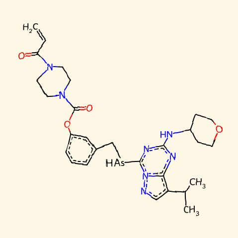 C=CC(=O)N1CCN(C(=O)Oc2cccc(C[AsH]c3nc(NC4CCOCC4)nc4c(C(C)C)cnn34)c2)CC1